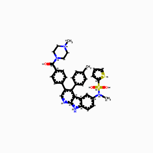 Cc1ccc(-c2c(-c3ccc(C(=O)N4CCN(C)CC4)cc3)cnc3[nH]c4ccc(N(C)S(=O)(=O)c5cccs5)cc4c23)cc1